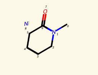 CN1CCCCC1=O.[N]